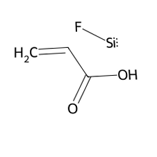 C=CC(=O)O.F[Si]